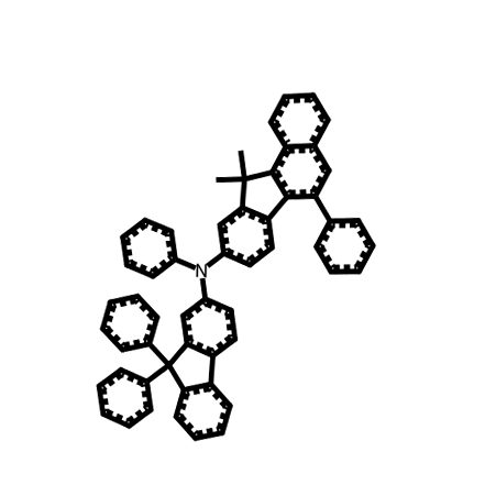 CC1(C)c2cc(N(c3ccccc3)c3ccc4c(c3)C(c3ccccc3)(c3ccccc3)c3ccccc3-4)ccc2-c2c(-c3ccccc3)cc3ccccc3c21